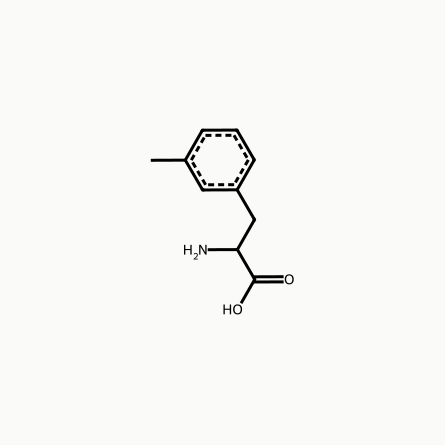 Cc1cccc(CC(N)C(=O)O)c1